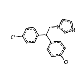 Clc1ccc(C(Cn2ccnc2)c2ccc(Cl)cc2)cc1